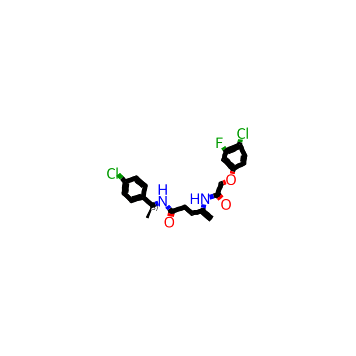 C=C(CCC(=O)N[C@@H](C)c1ccc(Cl)cc1)NC(=O)COc1ccc(Cl)c(F)c1